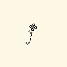 CCCC=CCCCCCC.c1ccc([B-](c2ccccc2)(c2ccccc2)c2ccccc2)cc1